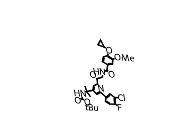 COc1cc(C(=O)NCC(=O)c2cc(C(C)(C)NC(=O)OC(C)(C)C)cc(-c3ccc(F)c(Cl)c3)n2)ccc1OC1CC1